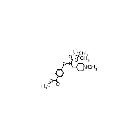 COC(=O)c1ccc(C2CC2N(CC2CCN(C)CC2)C(=O)OC(C)(C)C)cc1